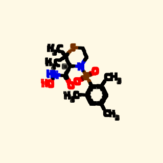 Cc1cc(C)c(S(=O)(=O)N2CCSC(C)(C)[C@@H]2C(=O)NO)c(C)c1